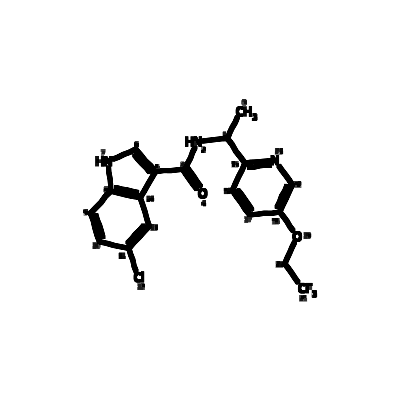 CC(NC(=O)c1c[nH]c2ccc(Cl)cc12)c1ccc(OCC(F)(F)F)cn1